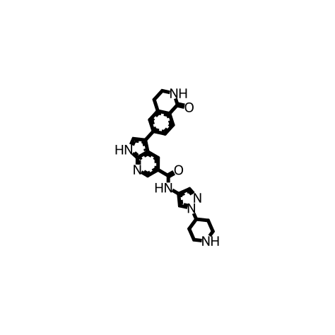 O=C(Nc1cnn(C2CCNCC2)c1)c1cnc2[nH]cc(-c3ccc4c(c3)CCNC4=O)c2c1